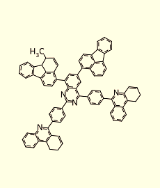 CC1C=Cc2c(-c3cc(-c4ccc5c6c(cccc46)-c4ccccc4-5)cc4c(-c5ccc(-c6nc7c(c8ccccc68)CCC=C7)cc5)nc(-c5ccc(-c6nc7ccccc7c7c6C=CCC7)cc5)nc34)ccc3c2C1c1ccccc1-3